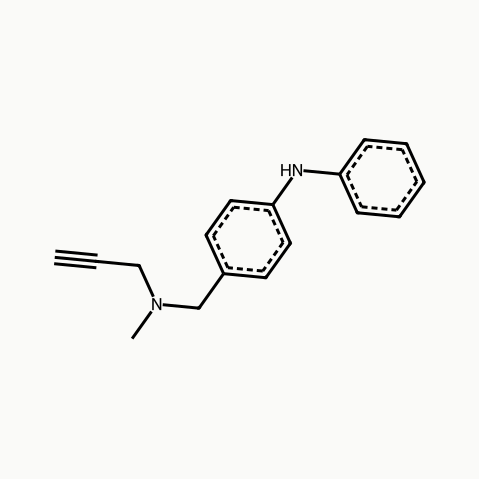 C#CCN(C)Cc1ccc(Nc2ccccc2)cc1